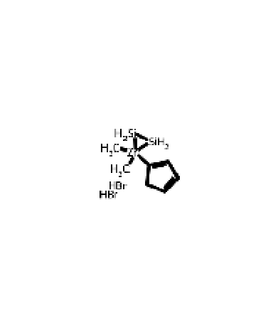 Br.Br.[CH3][Zr]1([CH3])([C]2=CC=CC2)[SiH2][SiH2]1